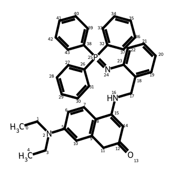 CCN(CC)c1ccc2c(c1)CC(=O)C=C2NCc1ccccc1N=P(c1ccccc1)(c1ccccc1)c1ccccc1